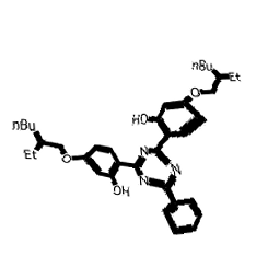 CCCCC(CC)COc1ccc(-c2nc(-c3ccccc3)nc(-c3ccc(OCC(CC)CCCC)cc3O)n2)c(O)c1